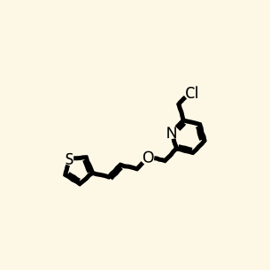 ClCc1cccc(COCC=Cc2ccsc2)n1